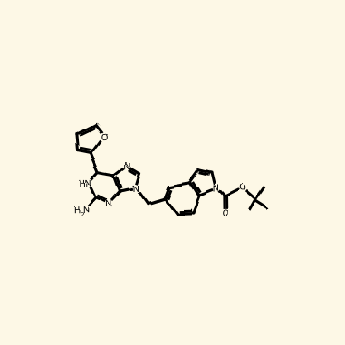 CC(C)(C)OC(=O)n1ccc2cc(Cn3cnc4c3N=C(N)NC4c3ccco3)ccc21